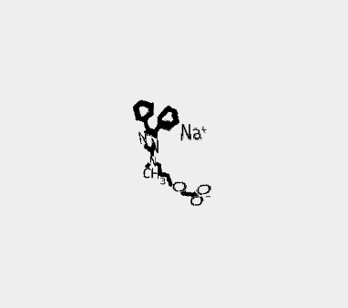 CCN(CCCCOCC(=O)[O-])c1cnc(-c2ccccc2)c(-c2ccccc2)n1.[Na+]